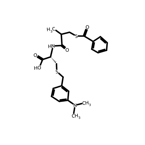 CC(CSC(=O)c1ccccc1)C(=O)N[C@H](CSCc1cccc(N(C)C)c1)C(=O)O